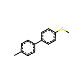 CSc1ccc(-c2ccc(C)cc2)cc1